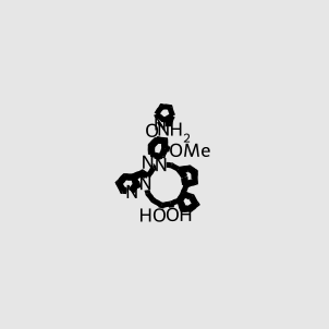 COc1cc(ON2CC3CCC2C3N)cc2nc3n(c12)Cc1cccc(c1)-c1ccccc1C(O)C(O)CCn1c-3cc2cccnc21